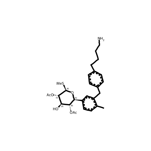 CS[C@H]1O[C@@H](c2ccc(C)c(Cc3ccc(CCCCN)cc3)c2)[C@H](OC(C)=O)[C@@H](O)[C@@H]1OC(C)=O